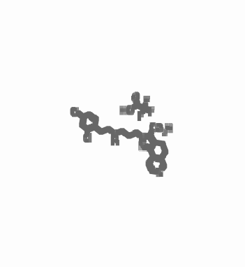 O=C(O)C(F)(F)F.O=C(O)c1c2c(nn1CCCNCCc1ccc(Cl)cc1Cl)-c1ccncc1CC2